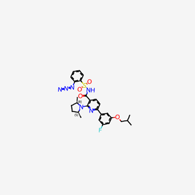 CC(C)COc1cc(F)cc(-c2ccc(C(=O)NS(=O)(=O)c3ccccc3N=[N+]=[N-])c(N3[C@H](C)CC[C@@H]3C)n2)c1